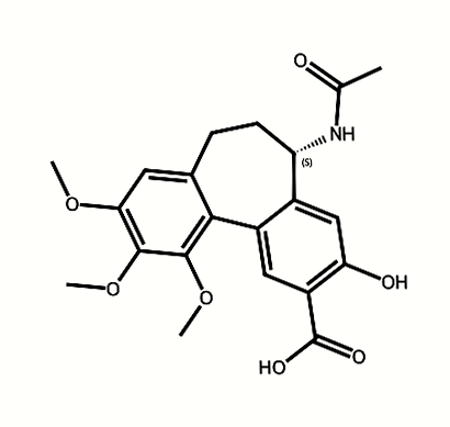 COc1cc2c(c(OC)c1OC)-c1cc(C(=O)O)c(O)cc1[C@@H](NC(C)=O)CC2